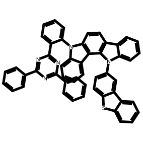 c1ccc(-c2nc(-c3ccccc3)nc(-c3ccccc3-n3c4ccccc4c4c3ccc3c5ccccc5n(-c5ccc6sc7ccccc7c6c5)c34)n2)cc1